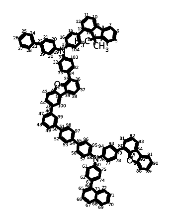 CC1(C)c2ccccc2-c2cccc(-c3ccc(N(c4ccc(-c5ccccc5)cc4)c4ccc(-c5cccc6c5oc5ccc(-c7cccc(-c8ccc(-c9ccc(N(c%10ccc(-c%11cccc%12ccccc%11%12)cc%10)c%10ccc(-c%11cccc%12c%11oc%11ccccc%11%12)cc%10)cc9)cc8)c7)cc56)cc4)cc3)c21